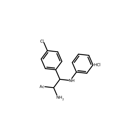 CC(=O)C(N)C(Nc1ccccc1)c1ccc(Cl)cc1.Cl